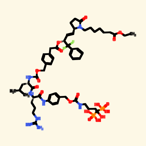 CCOC(=O)CCCCCCN1C(=O)CC[C@@H]1/C=C/[C@@H](OC(=O)Cc1ccc(COC(=O)N[C@@H](CC(C)C)C(=O)N[C@@H](CCCNC(=N)N)C(=O)Nc2ccc(COC(=O)NCCCC(O)(P(=O)(O)O)P(=O)(O)O)cc2)cc1)C(F)(F)c1ccccc1